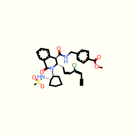 C#C/C=C(Cl)\C=C/C[C@H]1[C@H](C(=O)NCc2ccc(C(=O)OC)cc2)c2ccccc2C(=O)N1[C@H]1CCCC[C@@H]1NS(C)(=O)=O